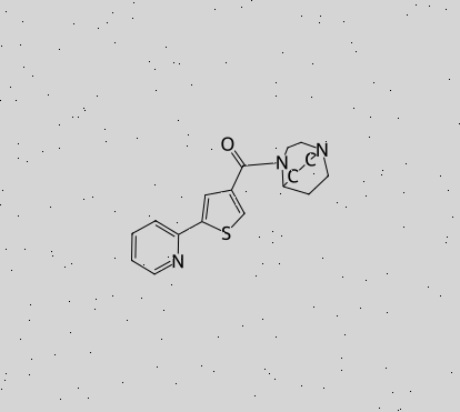 O=C(c1csc(-c2ccccn2)c1)N1CCN2CCC1CC2